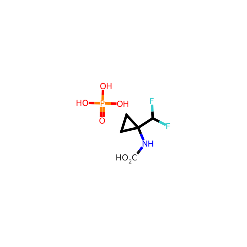 O=C(O)NC1(C(F)F)CC1.O=P(O)(O)O